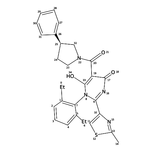 CCc1cccc(CC)c1-n1c(-c2csc(C)n2)nc(=O)c(C(=O)N2CC[C@@H](c3ccccc3)C2)c1O